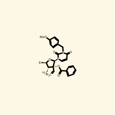 C=C[C@@]1(OC(=O)c2ccccc2)[C@H](C)[C@@H](CC)O[C@H]1n1ccc(=O)n(Cc2ccc(OC)cc2)c1=O